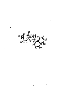 CC1CC(O)(CCc2cccc3ccccc23)C(C)CN1C